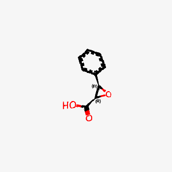 O=C(O)[C@@H]1O[C@@H]1c1ccccc1